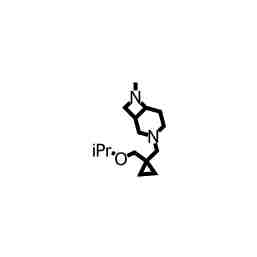 CC(C)OCC1(CN2CCC3C(C2)CN3C)CC1